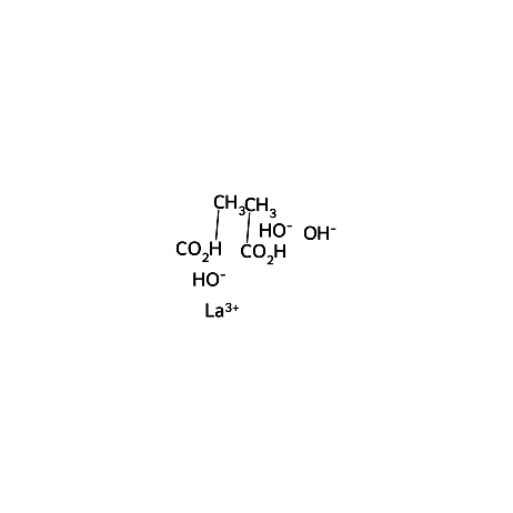 CC(=O)O.CC(=O)O.[La+3].[OH-].[OH-].[OH-]